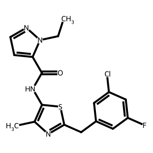 CCn1nccc1C(=O)Nc1sc(Cc2cc(F)cc(Cl)c2)nc1C